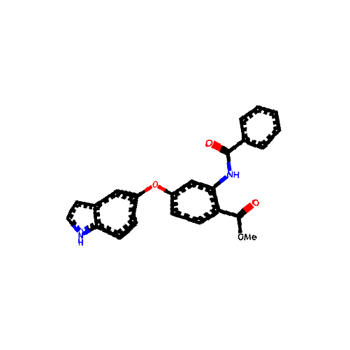 COC(=O)c1ccc(Oc2ccc3[nH]ccc3c2)cc1NC(=O)c1ccccc1